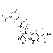 COc1cccc(-c2csc(N=S(C)(=O)C(C)c3ccc(C(F)(F)F)nc3)n2)c1